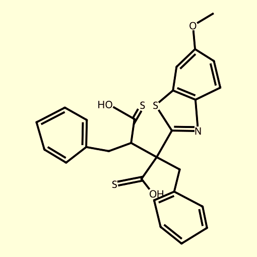 COc1ccc2nc(C(Cc3ccccc3)(C(O)=S)C(Cc3ccccc3)C(O)=S)sc2c1